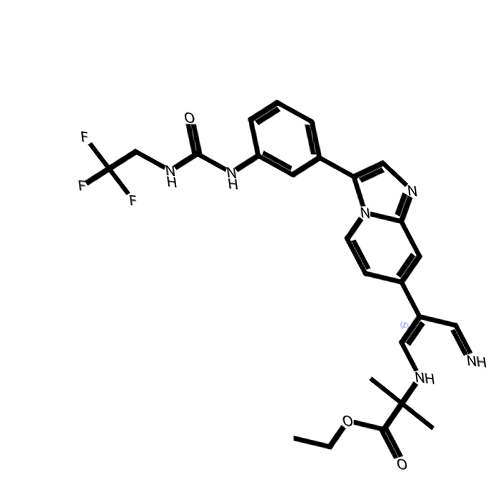 CCOC(=O)C(C)(C)N/C=C(\C=N)c1ccn2c(-c3cccc(NC(=O)NCC(F)(F)F)c3)cnc2c1